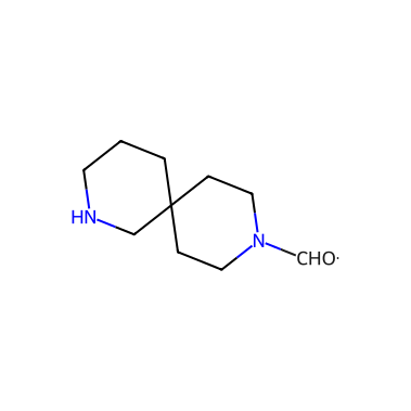 O=[C]N1CCC2(CCCNC2)CC1